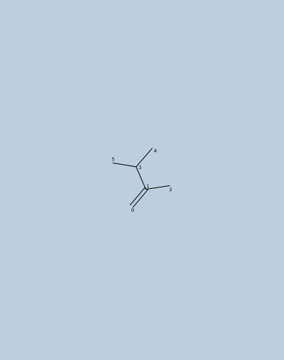 C=C(C)C(C)C